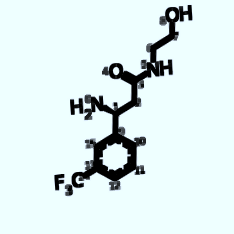 N[C@@H](CC(=O)NCCO)c1cccc(C(F)(F)F)c1